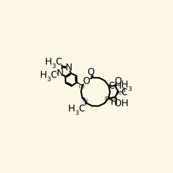 C/C1=C/C[C@@H](c2ccc3c(c2)nc(C)n3C)OC(=O)CCC2(C)C[C@@H](CCC1)[C@H](O)[C@@H](C)C2=O